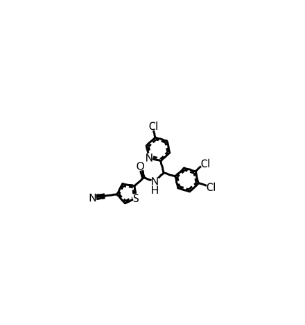 N#Cc1csc(C(=O)NC(c2ccc(Cl)c(Cl)c2)c2ccc(Cl)cn2)c1